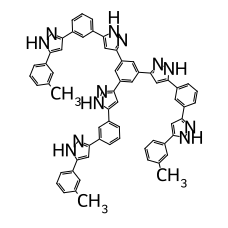 Cc1cccc(-c2cc(-c3cccc(-c4cc(-c5cc(-c6cc(-c7cccc(-c8cc(-c9cccc(C)c9)[nH]n8)c7)[nH]n6)cc(-c6cc(-c7cccc(-c8cc(-c9cccc(C)c9)[nH]n8)c7)[nH]n6)c5)n[nH]4)c3)n[nH]2)c1